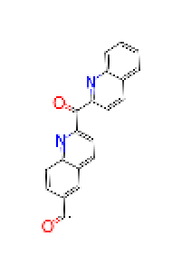 O=[C]c1ccc2nc(C(=O)c3ccc4ccccc4n3)ccc2c1